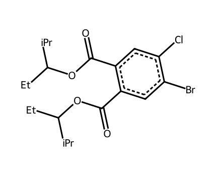 CCC(OC(=O)c1cc(Cl)c(Br)cc1C(=O)OC(CC)C(C)C)C(C)C